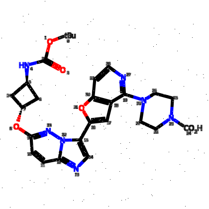 CC(C)(C)OC(=O)N[C@H]1C[C@H](Oc2ccc3ncc(-c4cc5c(N6CCN(C(=O)O)CC6)nccc5o4)n3n2)C1